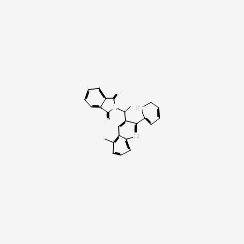 CC(c1cc2c(Cl)cccc2nc1C1=CC=CCN1)N1C(=O)c2ccccc2C1=O